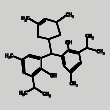 CC1=CC(C)CC(C(c2cc(C)cc(C(C)C)c2O)c2cc(C)cc(C(C)C)c2O)C1